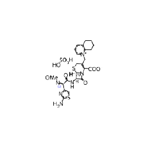 CO/N=C(\C(=O)N[C@@H]1C(=O)N2C(C(=O)[O-])=C(C[n+]3cccc4c3CCCC4)CS[C@H]12)c1csc(N)n1.O=S(=O)(O)O